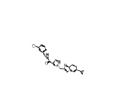 O=C(NCc1cccc(Cl)c1)c1cnn(Cc2cn3cc(C4CC4)ccc3n2)c1